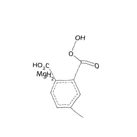 Cc1ccc(C(=O)O)c(C(=O)OO)c1.[MgH2]